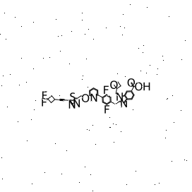 O=C(O)c1ccc2nc(Cc3cc(F)c(-c4cccc(OCc5nnc(C#CC6CC(F)(F)C6)s5)n4)cc3F)n(CC3CCO3)c2c1